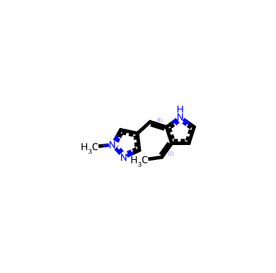 C/C=c1/cc[nH]/c1=C/c1cnn(C)c1